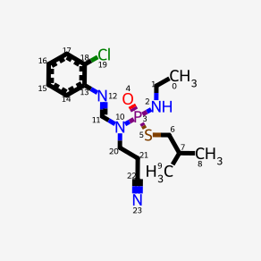 CCNP(=O)(SCC(C)C)N(C=Nc1ccccc1Cl)CCC#N